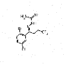 N=C(N)NN=C(CCC(F)(F)F)c1cc(Cl)ccc1Br